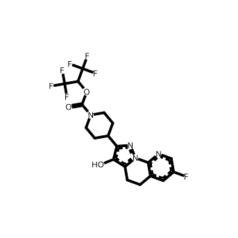 O=C(OC(C(F)(F)F)C(F)(F)F)N1CCC(c2nn3c(c2O)CCc2cc(F)cnc2-3)CC1